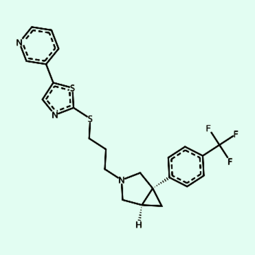 FC(F)(F)c1ccc([C@]23C[C@H]2CN(CCCSc2ncc(-c4cccnc4)s2)C3)cc1